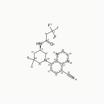 CC(F)(F)CC(=O)N[C@H]1CN(c2ccc(C#N)c3nccnc23)CC(C)(C)C1